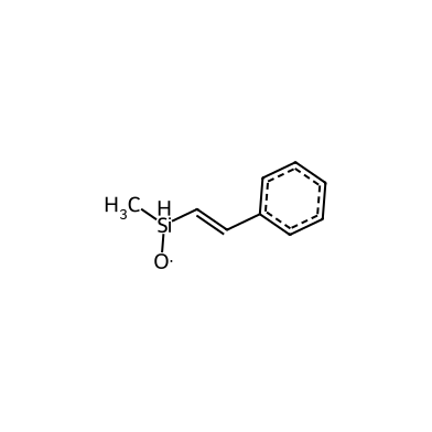 C[SiH]([O])/C=C/c1ccccc1